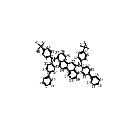 CC(C)(C)c1ccc(N(c2ccc(-c3ccccc3)cc2)c2cc3c4cccc(N(c5ccc(-c6ccccc6)cc5)c5ccc(C(C)(C)C)cc5)c4ccc3c3ccccc23)cc1